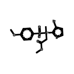 COC(=O)C[N+](C)(c1sccc1Br)S(=O)(=O)c1ccc(OC)cc1